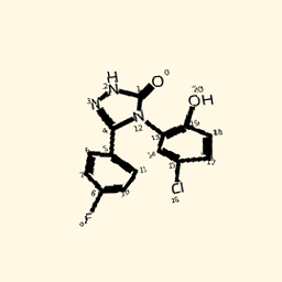 O=c1[nH]nc(-c2ccc(F)cc2)n1-c1cc(Cl)ccc1O